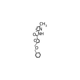 Cc1csc(NC(=O)c2ccc(COCc3ccccc3)o2)n1